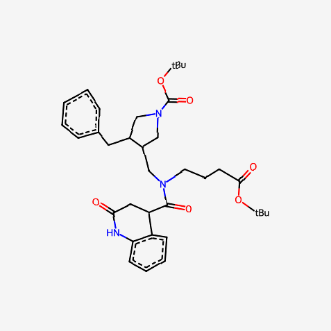 CC(C)(C)OC(=O)CCCN(CC1CN(C(=O)OC(C)(C)C)CC1Cc1ccccc1)C(=O)C1CC(=O)Nc2ccccc21